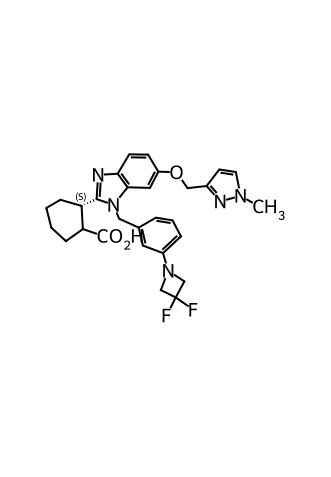 Cn1ccc(COc2ccc3nc([C@H]4CCCCC4C(=O)O)n(Cc4cccc(N5CC(F)(F)C5)c4)c3c2)n1